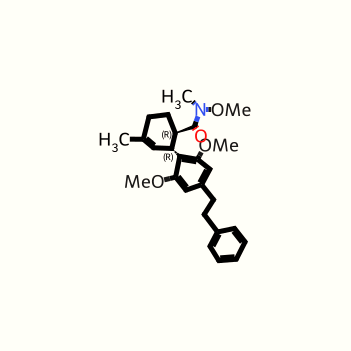 COc1cc(CCc2ccccc2)cc(OC)c1[C@@H]1C=C(C)CC[C@H]1C(=O)N(C)OC